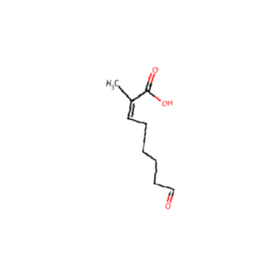 CC(=CCCCCC=O)C(=O)O